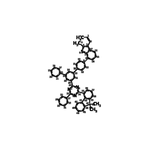 C/C=C\c1c(C)sc2c(-c3ccc(-c4cc(-c5ccccc5)cc(-c5nc(-c6ccccc6)nc(-c6cccc7c6-c6ccccc6C7(C)C)n5)c4)cc3)cccc12